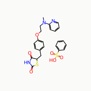 CN(CCOc1ccc(CC2SC(=O)NC2=O)cc1)c1ccccn1.O=S(=O)(O)c1ccccc1